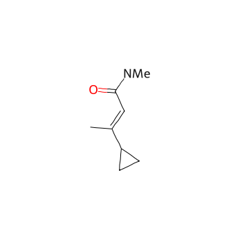 CNC(=O)/C=C(\C)C1CC1